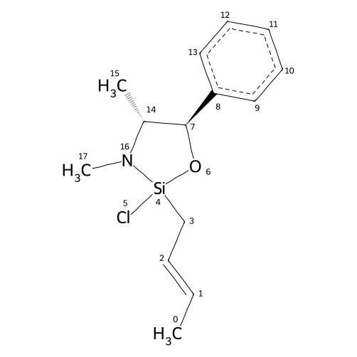 CC=CC[Si]1(Cl)O[C@H](c2ccccc2)[C@@H](C)N1C